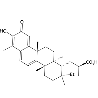 CC[C@]1(C)CC[C@]2(C)C3=CC=C4C(=CC(=O)C(O)=C4C)[C@]3(C)CC[C@@]2(C)[C@@H]1C[C@H](C)C(=O)O